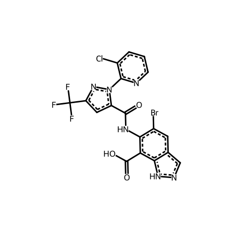 O=C(O)c1c(NC(=O)c2cc(C(F)(F)F)nn2-c2ncccc2Cl)c(Br)cc2cn[nH]c12